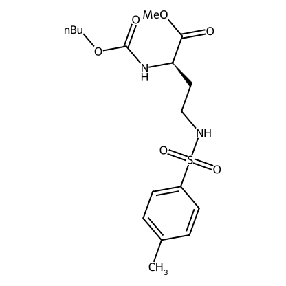 CCCCOC(=O)N[C@H](CCNS(=O)(=O)c1ccc(C)cc1)C(=O)OC